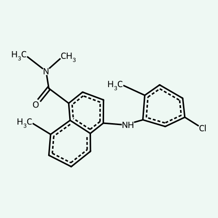 Cc1ccc(Cl)cc1Nc1ccc(C(=O)N(C)C)c2c(C)cccc12